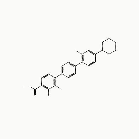 CC(=O)c1ccc(-c2ccc(-c3ccc(C4CCCCC4)cc3F)cc2)c(F)c1F